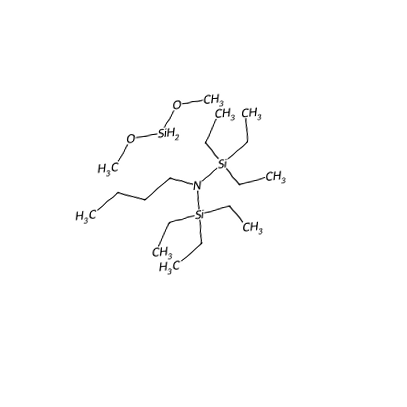 CCCCN([Si](CC)(CC)CC)[Si](CC)(CC)CC.CO[SiH2]OC